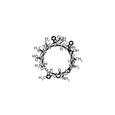 CCCC[C@H]1C(=O)N(C)[C@@H](CCCC)C(=O)N[C@@H](CCC(=O)O)C(=O)N[C@H](C(N)=O)CCCC(=O)N[C@@H](Cc2ccc(C)cc2)C(=O)N2CCCC[C@@]23C(=O)N3[C@@H](CC(N)=O)C(=O)N2CCC[C@H]2C(=O)N[C@@H](CN)C(=O)N[C@@H](CC(C)C)C(=O)N2C[C@H](O)C[C@H]2C(=O)N[C@@H](Cc2c[nH]c3ccccc23)C(=O)N[C@@H](CCN)C(=O)N[C@@H](Cc2cn(CC(=O)O)c3ccccc23)C(=O)N1C